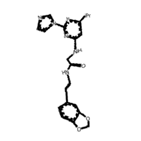 CC(C)c1cc(NCC(=O)NCCc2ccc3c(c2)OCO3)nc(-n2ccnc2)n1